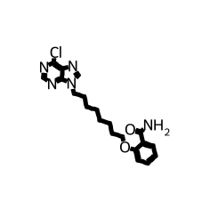 NC(=O)c1ccccc1OCCCCCCCCn1cnc2c(Cl)ncnc21